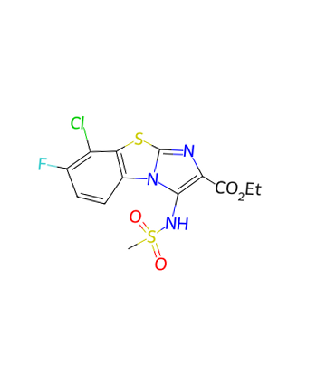 CCOC(=O)c1nc2sc3c(Cl)c(F)ccc3n2c1NS(C)(=O)=O